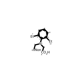 CCCCCCCCCCN(CC(=O)O)c1c(CC)cccc1CC